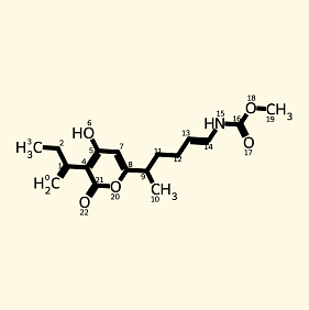 C=C(CC)c1c(O)cc(C(C)CC/C=C/NC(=O)OC)oc1=O